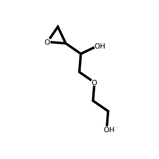 OCCOCC(O)C1CO1